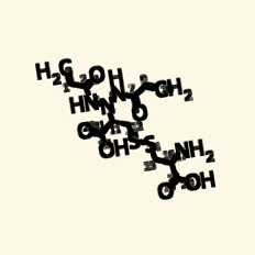 C=CC(=O)NN(NC(=O)C=C)[C@@H](CSSCC(N)C(=O)O)C(=O)O